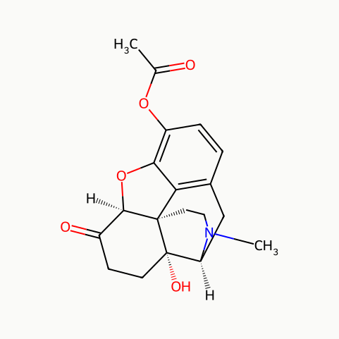 CC(=O)Oc1ccc2c3c1O[C@@H]1C(=O)CC[C@]4(O)[C@H](C2)N(C)CC[C@@]314